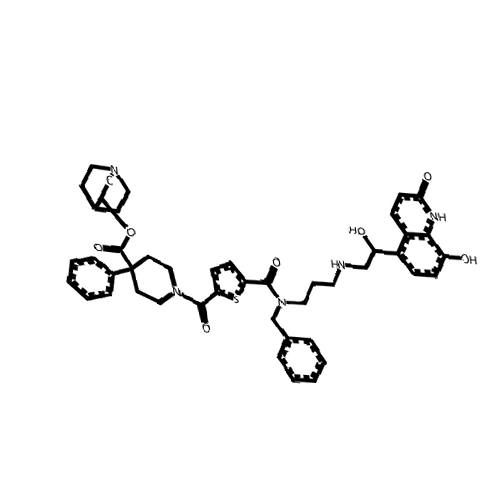 O=C(c1ccc(C(=O)N(CCCNCC(O)c2ccc(O)c3[nH]c(=O)ccc23)Cc2ccccc2)s1)N1CCC(C(=O)OC2CN3CCC2CC3)(c2ccccc2)CC1